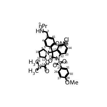 CCCNCc1ccc(C2(N3CCC[C@@H]3OC(=O)N(C)C)C(=O)N(S(=O)(=O)c3ccc(OC)cc3)c3ccc(Cl)cc32)c(OC)c1